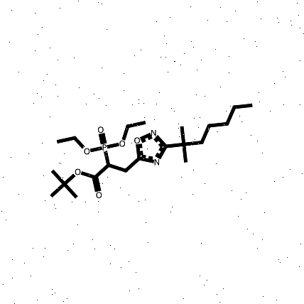 CCCCCC(C)(C)c1noc(CC(C(=O)OC(C)(C)C)P(=O)(OCC)OCC)n1